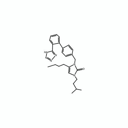 CCCCc1cn(CCC(C)C)c(=O)n1Cc1ccc(-c2ccccc2-c2nnn[nH]2)cc1